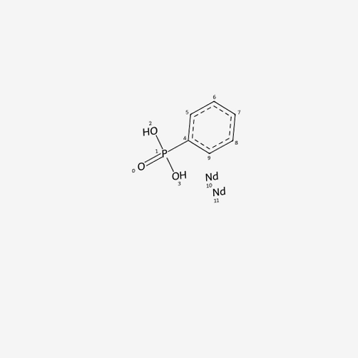 O=P(O)(O)c1ccccc1.[Nd].[Nd]